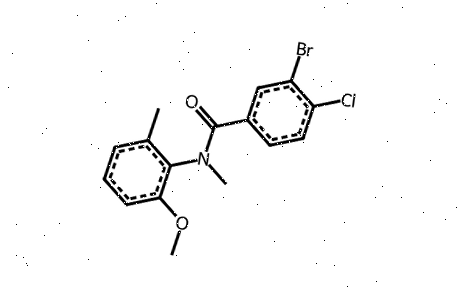 COc1cccc(C)c1N(C)C(=O)c1ccc(Cl)c(Br)c1